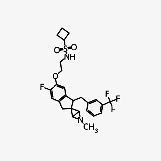 CN1C2C1C21Cc2cc(F)c(OCCNS(=O)(=O)C3CCC3)cc2C1Cc1cccc(C(F)(F)F)c1